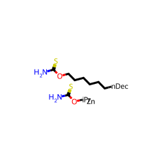 CC(C)OC(N)=S.CCCCCCCCCCCCCCCCOC(N)=S.[Zn]